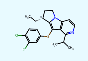 CC[C@@H]1CCn2c1c(Sc1ccc(Cl)c(Cl)c1)c1c(C(C)C)nccc12